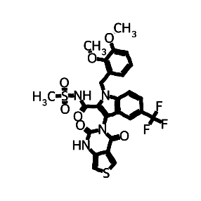 COc1cccc(Cn2c(C(=O)NS(C)(=O)=O)c(-n3c(=O)[nH]c4cscc4c3=O)c3cc(C(F)(F)F)ccc32)c1OC